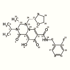 CC(C)N1C(=O)c2c(O)c(=O)c(C(=O)NCc3ccccc3F)cn2N(C[C@@H]2CCCO2)[C@H]1C